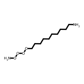 NCCCCCCCCCCOOOON